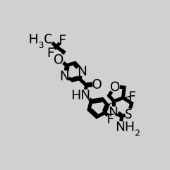 CC(F)(F)COc1cnc(C(=O)Nc2ccc(F)c([C@]34COC[C@@]3(F)CSC(N)=N4)c2)cn1